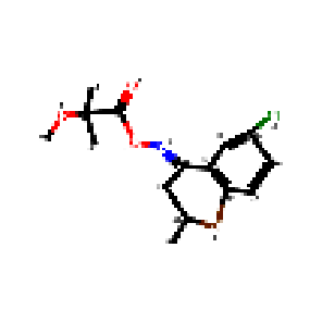 COC(C)(C)C(=O)O/N=C1\CC(C)Sc2ccc(Cl)cc21